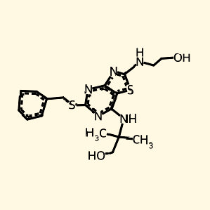 CC(C)(CO)Nc1nc(SCc2ccccc2)nc2nc(NCCO)sc12